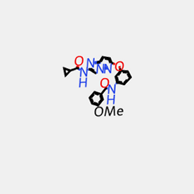 COc1cccc(C(=O)Nc2cccc(Oc3ccc4nc(NC(=O)C5CC5)cn4n3)c2)c1